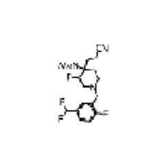 CNC1(CCC#N)CCN(Cc2cc(C(F)F)ccc2F)CC1F